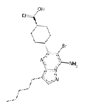 CCCCCc1cnn2c(N)c(Br)c([C@H]3CC[C@H](C(=O)O)CC3)nc12